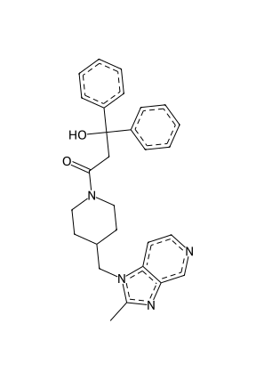 Cc1nc2cnccc2n1CC1CCN(C(=O)CC(O)(c2ccccc2)c2ccccc2)CC1